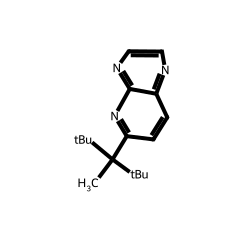 CC(C)(C)C(C)(c1ccc2nccnc2n1)C(C)(C)C